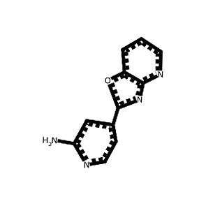 Nc1cc(-c2nc3ncccc3o2)ccn1